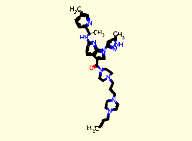 CCCCN1CCN(CCCN2CCN(C(=O)c3cn(-c4cc(C)[nH]n4)c4nc(N[C@@H](C)c5ccc(C)cn5)ccc34)CC2)CC1